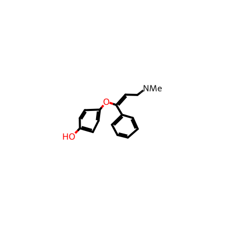 CNCC=C(Oc1ccc(O)cc1)c1ccccc1